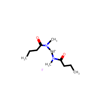 CCCC(=O)[N](C)[Nd+][N](C)C(=O)CCC.[I-]